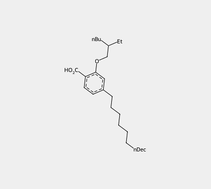 CCCCCCCCCCCCCCCCc1ccc(C(=O)O)c(OCC(CC)CCCC)c1